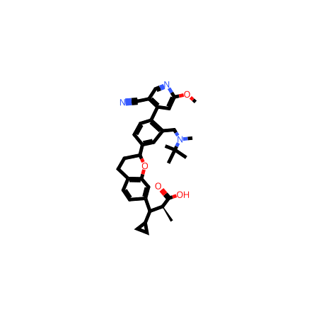 COc1cc(-c2ccc(C3CCc4ccc(C(C5CC5)[C@H](C)C(=O)O)cc4O3)cc2CN(C)C(C)(C)C)c(C#N)cn1